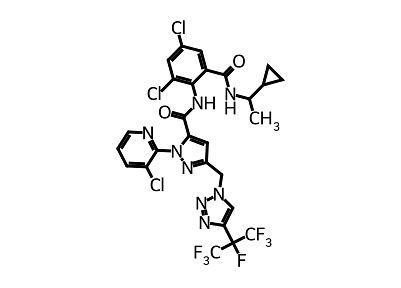 CC(NC(=O)c1cc(Cl)cc(Cl)c1NC(=O)c1cc(Cn2cc(C(F)(C(F)(F)F)C(F)(F)F)nn2)nn1-c1ncccc1Cl)C1CC1